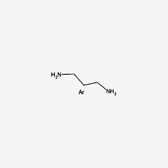 NCCCN.[Ar]